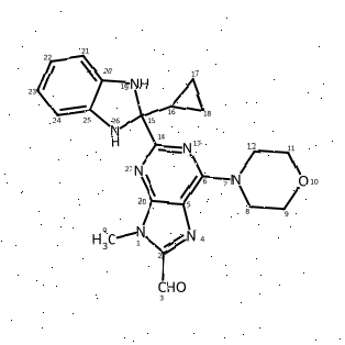 Cn1c(C=O)nc2c(N3CCOCC3)nc(C3(C4CC4)Nc4ccccc4N3)nc21